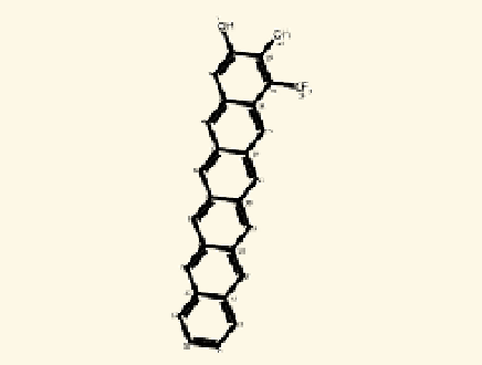 Oc1cc2cc3cc4cc5cc6ccccc6cc5cc4cc3cc2c(C(F)(F)F)c1O